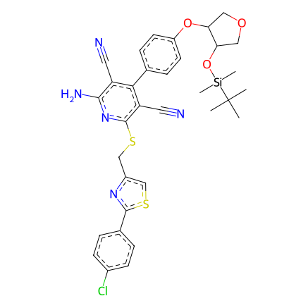 CC(C)(C)[Si](C)(C)OC1COCC1Oc1ccc(-c2c(C#N)c(N)nc(SCc3csc(-c4ccc(Cl)cc4)n3)c2C#N)cc1